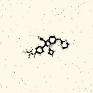 N#Cc1c(-c2ccc(NS(N)(=O)=O)cc2)n(C2CCC2)c2cc(Oc3ncccn3)ccc12